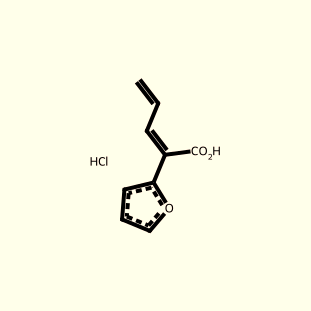 C=CC=C(C(=O)O)c1ccco1.Cl